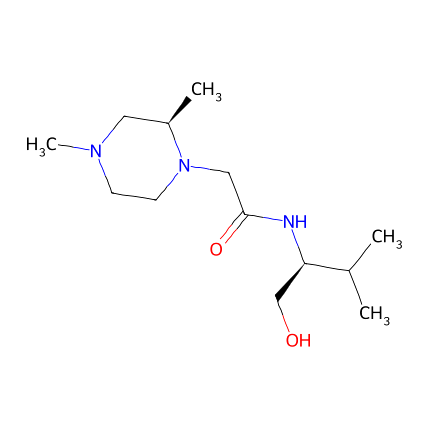 CC(C)[C@@H](CO)NC(=O)CN1CCN(C)C[C@H]1C